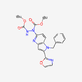 CC(C)(C)OC(=O)NN(C(=O)OC(C)(C)C)c1ccc2c(cc(-c3ncco3)n2Cc2ccccc2)n1